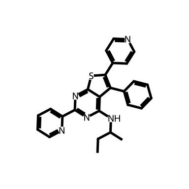 CCC(C)Nc1nc(-c2ccccn2)nc2sc(-c3ccncc3)c(-c3ccccc3)c12